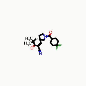 CC1(C)C[C@]2(C=C(C#N)C1=O)CCN(C(=O)C1CCC(F)(F)CC1)C2